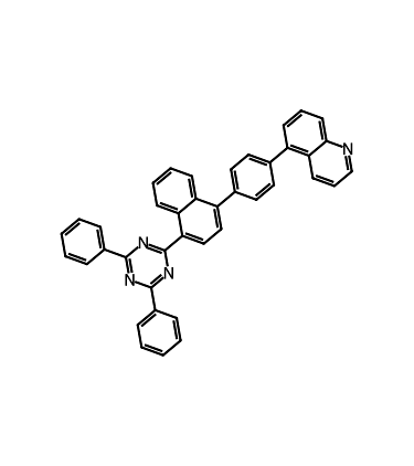 c1ccc(-c2nc(-c3ccccc3)nc(-c3ccc(-c4ccc(-c5cccc6ncccc56)cc4)c4ccccc34)n2)cc1